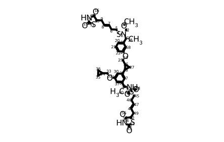 COCN(SCC/C=C/CC1SC(=O)NC1=O)[C@H](C)c1cccc(OCC2CC2c2cc(OCC3CC3)cc([C@@H](C)NS(=O)(=O)CC/C=C/CC3SC(=O)NC3=O)c2)c1